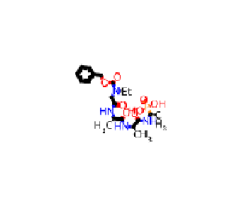 CCN(CC(=O)N[C@@H](C)C(=O)N[C@@H](C)C(=O)N[C@@H](C)P(=O)(O)O)C(=O)OCc1ccccc1